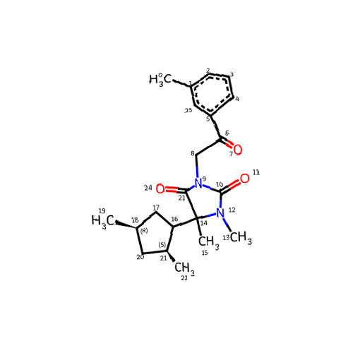 Cc1cccc(C(=O)CN2C(=O)N(C)C(C)(C3C[C@H](C)C[C@@H]3C)C2=O)c1